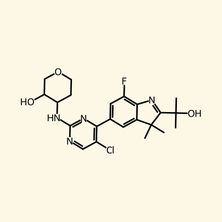 CC(C)(O)C1=Nc2c(F)cc(-c3nc(NC4CCOCC4O)ncc3Cl)cc2C1(C)C